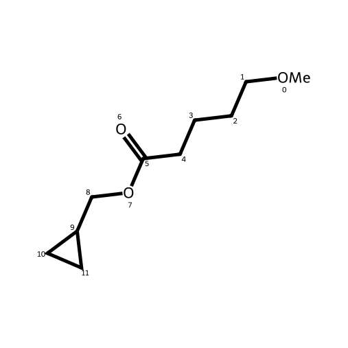 COCCCCC(=O)OCC1CC1